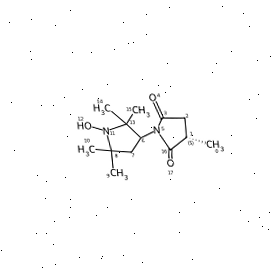 C[C@H]1CC(=O)N(C2CC(C)(C)N(O)C2(C)C)C1=O